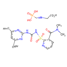 COc1cc(OC)nc(NC(=O)NS(=O)(=O)c2ncccc2C(=O)N(C)C)n1.O=C(O)CNCP(=O)(O)O